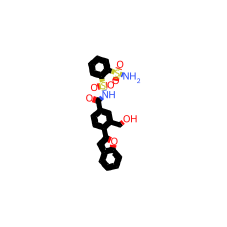 NS(=O)(=O)c1ccccc1S(=O)(=O)NC(=O)c1ccc(-c2cc3ccccc3o2)c(CO)c1